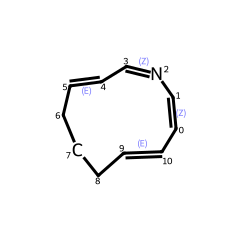 C1=C\N=C/C=C/CCC/C=C/1